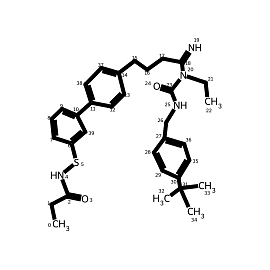 CCC(=O)NSc1cccc(-c2ccc(CCCC(=N)N(CC)C(=O)NCc3ccc(C(C)(C)C)cc3)cc2)c1